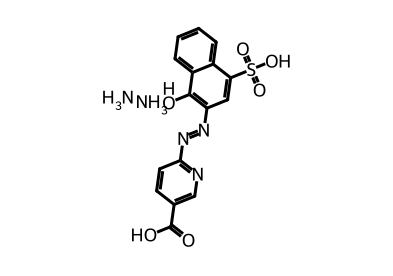 N.N.O=C(O)c1ccc(N=Nc2cc(S(=O)(=O)O)c3ccccc3c2O)nc1